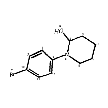 OC1CCCCN1c1ccc(Br)cc1